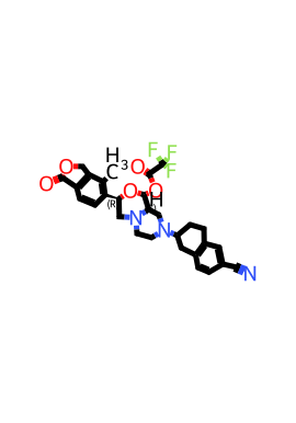 Cc1c([C@@H]2CN3CCN(C4CCc5cc(C#N)ccc5C4)C[C@H]3C(OC(=O)C(F)(F)F)O2)ccc2c1COC2=O